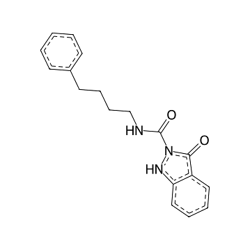 O=C(NCCCCc1ccccc1)n1[nH]c2ccccc2c1=O